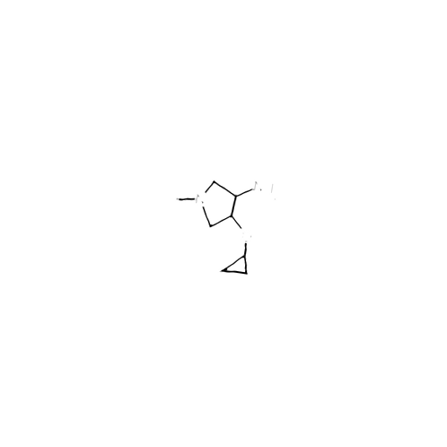 NC1CN(I)CC1OC1CC1